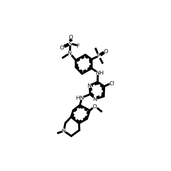 COc1cc2c(cc1Nc1ncc(Cl)c(Nc3ccc(N(C)S(=O)(=O)F)cc3P(C)(C)=O)n1)CN(C)CC2